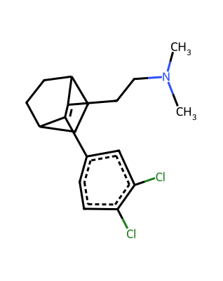 CN(C)CCC1=C(c2ccc(Cl)c(Cl)c2)C2CCC1CC2